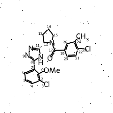 COc1c(Cl)cccc1-c1nnc([C@@H]2CCCN2C(=O)c2ccc(Cl)c(C)c2)[nH]1